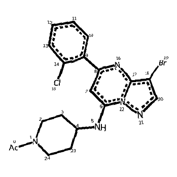 CC(=O)N1CCC(Nc2cc(-c3ccccc3Cl)nc3c(Br)cnn23)CC1